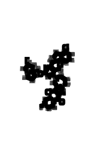 CN1CCN(C(=O)c2nn3c(c2Cl)CN(c2nc(OC[C@@]45CCCN4C[C@H](F)C5)nc4c2CO[C@@]2(CCc5c(Cl)cccc52)C4)CCC3)CC1